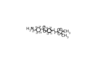 CC(=O)C(C)OC(=O)CCc1ccc(OC(=O)[C@H]2CC[C@H](CN)CC2)cc1